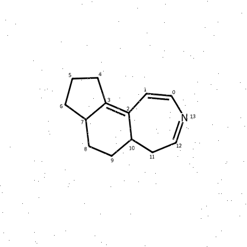 C1=CC2=C3CCCC3CCC2CC=N1